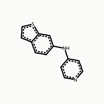 c1cc(Nc2ccc3ccsc3c2)ccn1